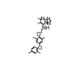 Cc1ccc(Oc2cc(C)c(OCCNc3c(C)c(C)nc4ncnn34)c(C)c2)c(C)c1